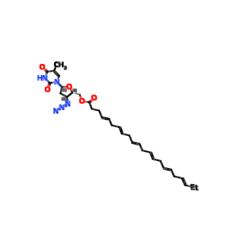 CCC=CCC=CCC=CCC=CCC=CCC=CCCC(=O)OC[C@H]1O[C@H](n2cc(C)c(=O)[nH]c2=O)C[C@@H]1N=[N+]=[N-]